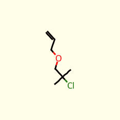 C=CCOCC(C)(C)Cl